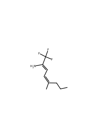 CCC/C(C)=C\C=C(/N)C(F)(F)F